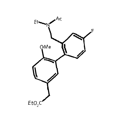 CCOC(=O)Cc1ccc(OC)c(-c2ccc(F)cc2CN(CC)C(C)=O)c1